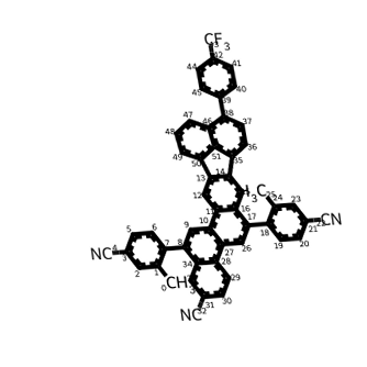 Cc1cc(C#N)ccc1-c1cc2c3cc4c(cc3c(-c3ccc(C#N)cc3C)cc2c2ccc(C#N)cc12)-c1ccc(-c2ccc(C(F)(F)F)cc2)c2cccc-4c12